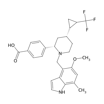 COc1cc(C)c2[nH]ccc2c1CN1CC[C@@H](C2CC2C(F)(F)F)C[C@H]1c1ccc(C(=O)O)cc1